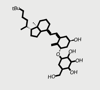 C=C1/C(=C\C=C2/CCC[C@@]3(C)C2CC[C@@H]3C(C)CCCC(C)(C)C)C[C@@H](O)C[C@@H]1OC1CC(CO)C(O)C(O)C1O